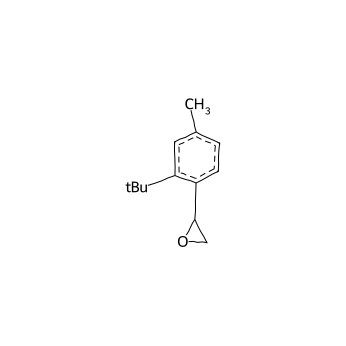 Cc1ccc(C2CO2)c(C(C)(C)C)c1